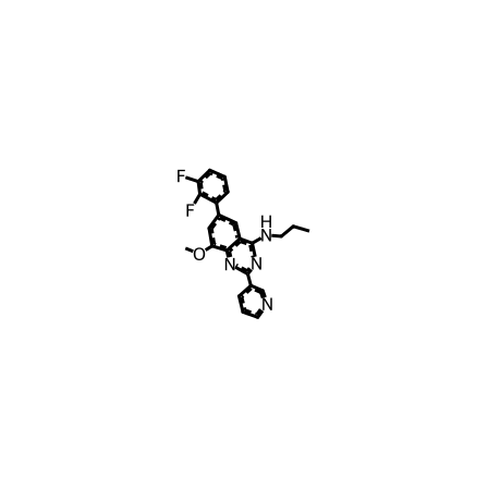 CCCNc1nc(-c2cccnc2)nc2c(OC)cc(-c3cccc(F)c3F)cc12